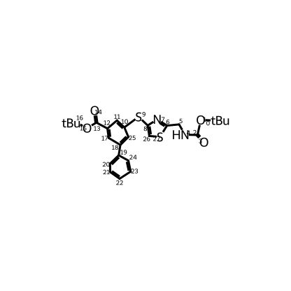 CC(C)(C)OC(=O)NCc1nc(Sc2cc(C(=O)OC(C)(C)C)cc(-c3ccccc3)c2)cs1